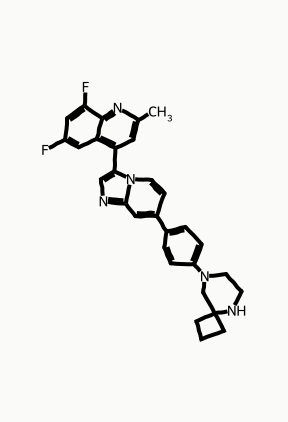 Cc1cc(-c2cnc3cc(-c4ccc(N5CCNC6(CCC6)C5)cc4)ccn23)c2cc(F)cc(F)c2n1